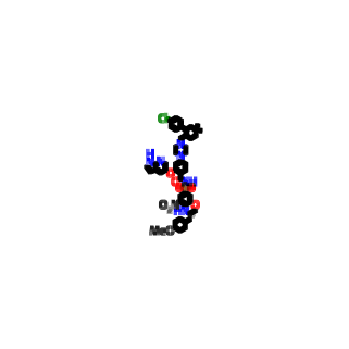 COC1CCC(C[C@@H]2COc3cc(S(=O)(=O)NC(=O)c4ccc(N5CCN(CC6=C(c7ccc(Cl)cc7)CC(C)(C)CC6)CC5)cc4Oc4cnc5[nH]ccc5c4)cc([N+](=O)[O-])c3N2)CC1